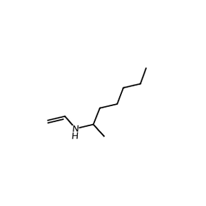 C=CNC(C)CCCCC